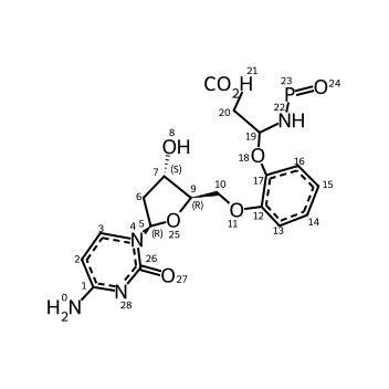 Nc1ccn([C@H]2C[C@H](O)[C@@H](COc3ccccc3OC(CC(=O)O)NP=O)O2)c(=O)n1